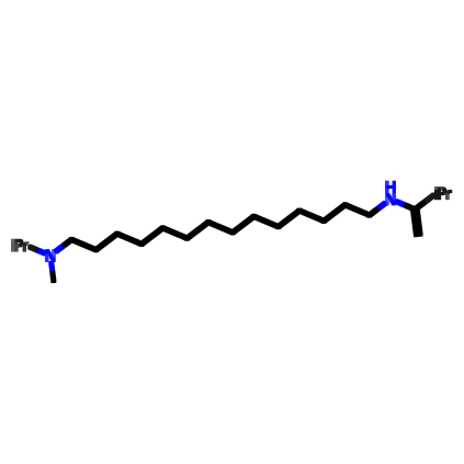 C=C(NCCCCCCCCCCCCCCN(C)C(C)C)C(C)C